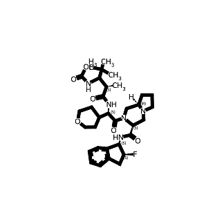 C[C@H](C(=O)N[C@H](C(=O)N1C[C@H]2CCCN2C[C@H]1C(=O)N[C@H]1c2ccccc2C[C@@H]1F)C1CCOCC1)C(NC(=O)O)C(C)(C)C